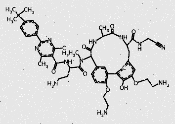 Cc1nc(-c2ccc(C(C)(C)C)cc2)nc(C)c1C(=O)NC(CCN)C(=O)N(C)C1C(=O)NC(C)C(=O)NC(C(=O)NCC#N)Cc2cc(OCCN)c(O)c(c2)-c2cc1ccc2OCCN